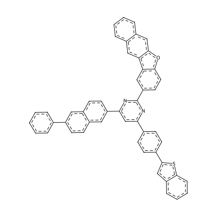 c1ccc(-c2ccc3cc(-c4cc(-c5ccc(-c6cc7ccccc7s6)cc5)nc(-c5ccc6oc7cc8ccccc8cc7c6c5)n4)ccc3c2)cc1